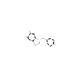 Cc1cc2c(cc1[N+](=O)[O-])N(Cc1ccc(F)cc1)CC2